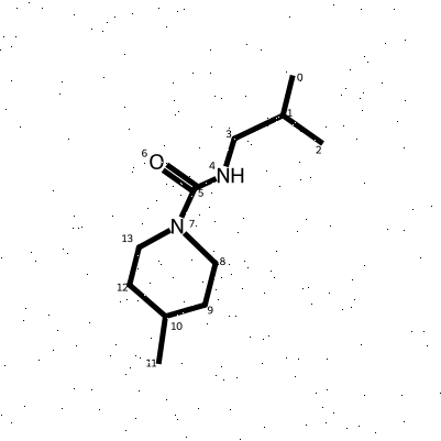 CC(C)CNC(=O)N1CCC(C)CC1